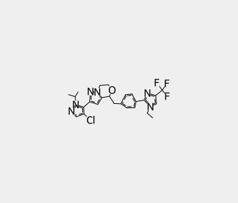 CCn1cc(C(F)(F)F)nc1-c1ccc(CC2OCCn3nc(-c4c(Cl)cnn4C(C)C)cc32)cc1